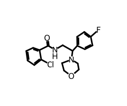 O=C(NCC(c1ccc(F)cc1)N1CCOCC1)c1ccccc1Cl